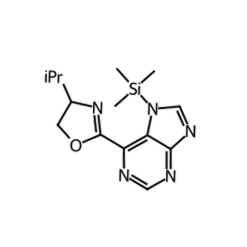 CC(C)C1COC(c2ncnc3ncn([Si](C)(C)C)c23)=N1